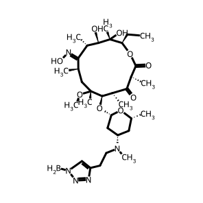 Bn1cc(CCN(C)[C@@H]2C[C@H](O[C@@H]3[C@@H](C)C(=O)[C@@H](C)C(=O)O[C@H](CC)[C@@](C)(O)[C@H](O)[C@@H](C)/C(=N/O)[C@H](C)C[C@@]3(C)OC)O[C@H](C)C2)nn1